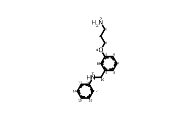 NCCCOc1cccc(CNc2ccccc2)c1